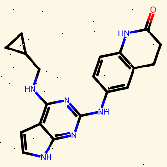 O=C1CCc2cc(Nc3nc(NCC4CC4)c4cc[nH]c4n3)ccc2N1